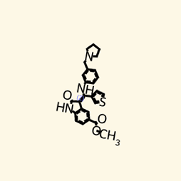 COC(=O)c1ccc2c(c1)/C(=C(/Nc1cccc(CN3CCCC3)c1)c1ccsc1)C(=O)N2